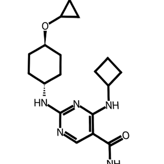 NC(=O)c1cnc(N[C@H]2CC[C@H](OC3CC3)CC2)nc1NC1CCC1